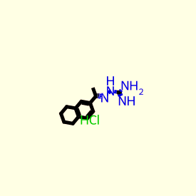 C/C(=N\NC(=N)N)c1ccc2c(c1)CCCC2.Cl